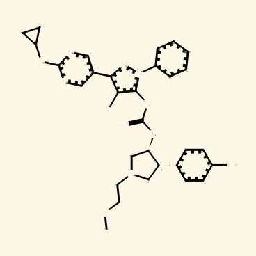 COCCN1C[C@@H](NC(=O)Nc2c(C)c(-c3cnc(NC4CC4)nc3)nn2-c2ccccc2)[C@H](c2ccc(F)cc2)C1